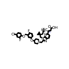 C/C(=C\C(=O)O)c1ccc2nc(CN3CCC(Oc4ccc(F)c(COc5ccc(Cl)cc5F)c4)CC3)n(CC3(CC#N)CC3)c2n1